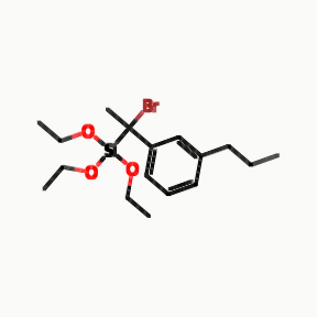 CCCc1cccc(C(C)(Br)[Si](OCC)(OCC)OCC)c1